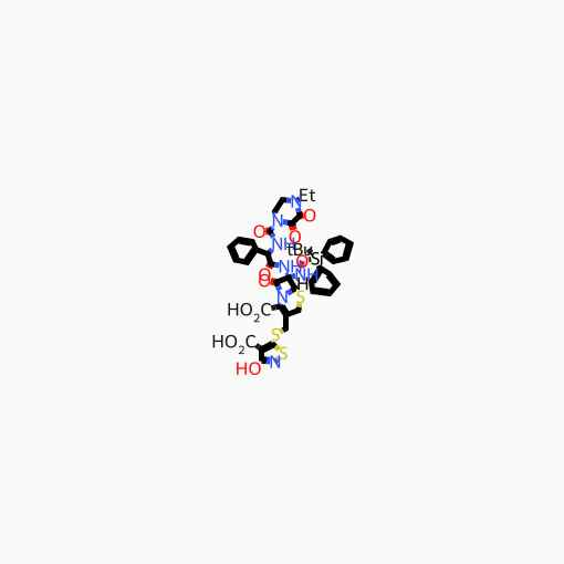 CCN1CCN(C(=O)NC(C(=O)N[C@]2(NO[Si](c3ccccc3)(c3ccccc3)C(C)(C)C)C(=O)N3C(C(=O)O)=C(CSc4snc(O)c4C(=O)O)CS[C@H]32)c2ccccc2)C(=O)C1=O